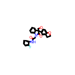 O=C(CN1C(=O)C2(COc3cc4c(cc32)CCO4)c2ccccc21)Nc1ccccc1F